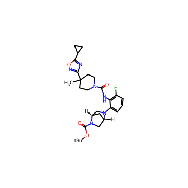 CC(C)(C)OC(=O)N1C[C@@H]2C[C@H]1CN2c1cccc(F)c1NC(=O)N1CCC(C)(c2noc(C3CC3)n2)CC1